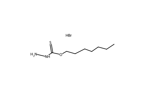 Br.CCCCCCCOC(=S)NN